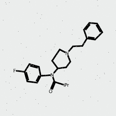 CC(C)C(=O)N(c1ccc(F)cc1)C1CCN(CCc2ccccc2)CC1